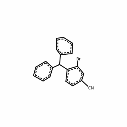 N#Cc1ccc([C](c2ccccc2)c2ccccc2)c(Br)c1